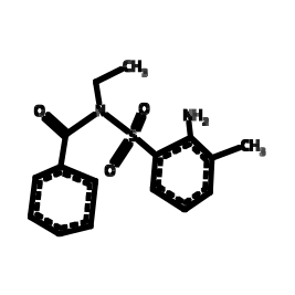 CCN(C(=O)c1ccccc1)S(=O)(=O)c1cccc(C)c1N